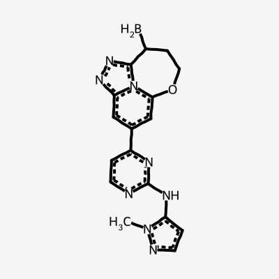 BC1CCOc2cc(-c3ccnc(Nc4ccnn4C)n3)cc3nnc1n23